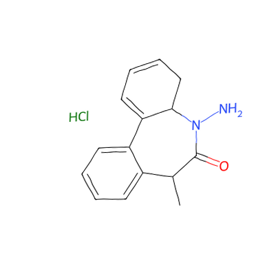 CC1C(=O)N(N)C2CC=CC=C2c2ccccc21.Cl